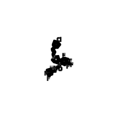 O=C(NCc1ccnc(F)c1)n1c2c(c3c(F)cc(C(F)(F)F)cc31)CN(CC=Cc1ccc(Cl)cc1)CC2